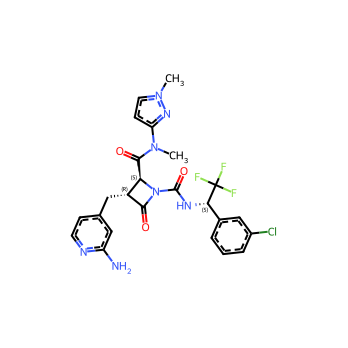 CN(C(=O)[C@@H]1[C@@H](Cc2ccnc(N)c2)C(=O)N1C(=O)N[C@@H](c1cccc(Cl)c1)C(F)(F)F)c1ccn(C)n1